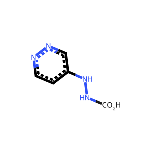 O=C(O)NNc1ccnnc1